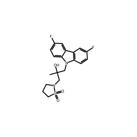 CC(O)(CN1CCCS1(=O)=O)Cn1c2ccc(F)cc2c2cc(F)ccc21